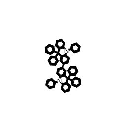 c1ccc(N2c3ccccc3C(c3ccccc3)(c3ccccc3)c3cc(-c4ccc5c(c4)C(c4ccccc4)(c4ccccc4)c4ccccc4N5c4ccccc4)ccc32)cc1